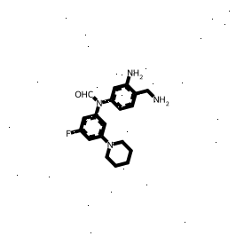 NCc1ccc(N(C=O)c2cc(F)cc(N3CCCCC3)c2)cc1N